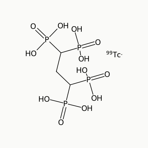 O=P(O)(O)C(CC(P(=O)(O)O)P(=O)(O)O)P(=O)(O)O.[99Tc]